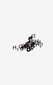 CC(=O)O[C@H]1C[N+]2(CC(=O)c3ccc(Cl)s3)CCC1CC2.CC(C)(C)OC(=O)Nc1ccccc1.[Br-]